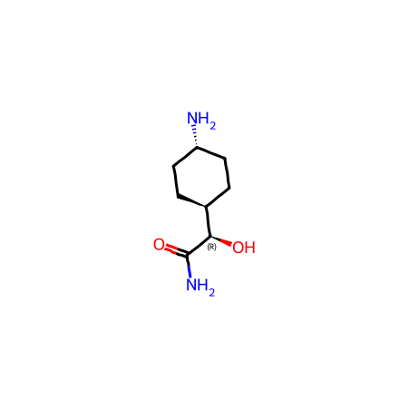 NC(=O)[C@H](O)[C@H]1CC[C@H](N)CC1